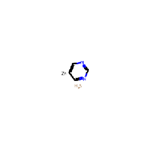 S.[Zn].c1cncnc1